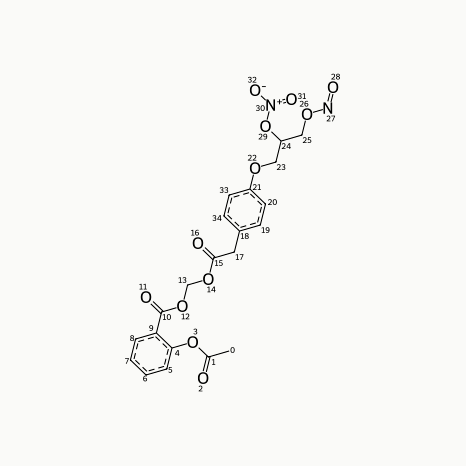 CC(=O)Oc1ccccc1C(=O)OCOC(=O)Cc1ccc(OCC(CON=O)O[N+](=O)[O-])cc1